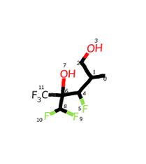 CC(CO)C(F)C(O)(C(F)F)C(F)(F)F